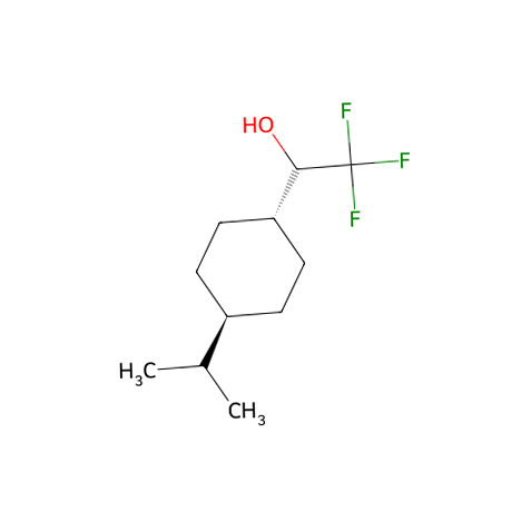 CC(C)[C@H]1CC[C@H](C(O)C(F)(F)F)CC1